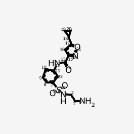 NCCNS(=O)(=O)c1cccc(NC(=O)c2cc(C3CC3)on2)c1